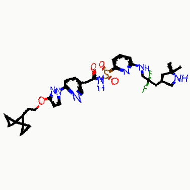 CC1(C)CC(CC(F)(F)CNc2cccc(S(=O)(=O)NC(=O)c3ccc(-n4ccc(OCCC5C6(CC6)C56CC6)n4)nc3)n2)CN1